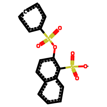 [O]S(=O)(=O)c1c(OS(=O)(=O)c2ccccc2)ccc2ccccc12